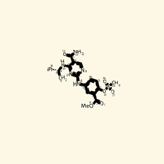 COC(=O)c1cc(Nc2ncc(C(N)=O)c(N[C@H](C)C(C)C)n2)ccc1OS(C)(=O)=O